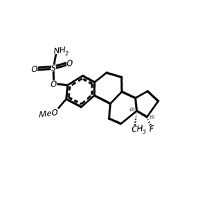 COc1cc2c(cc1OS(N)(=O)=O)CCC1C2CC[C@@]2(C)C1CC[C@@H]2F